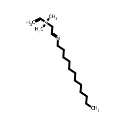 C=C[Si](C)(C)CC=NCCCCCCCCCCCC